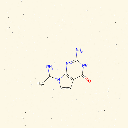 CC(N)n1ccc2c(=O)[nH]c(N)nc21